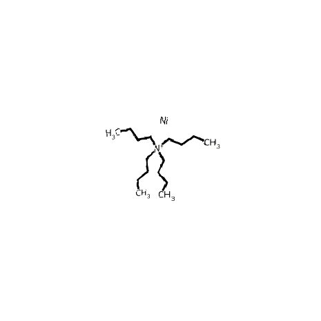 CCCC[N+](CCCC)(CCCC)CCCC.[Ni]